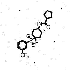 O=C(NC1CCC(F)(S(=O)(=O)c2cccc(C(F)(F)F)c2)CC1)C1CCCC1